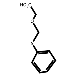 O=C(O)COCSc1ccccc1